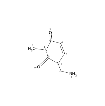 Cn1c(=O)ccn(CN)c1=O